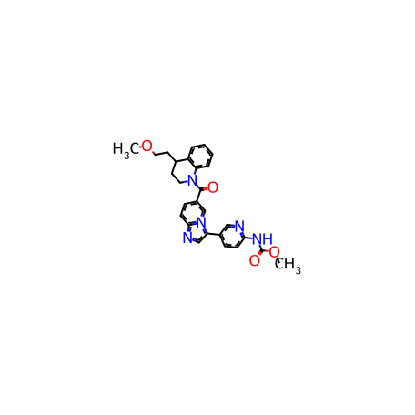 COCCC1CCN(C(=O)c2ccc3ncc(-c4ccc(NC(=O)OC)nc4)n3c2)c2ccccc21